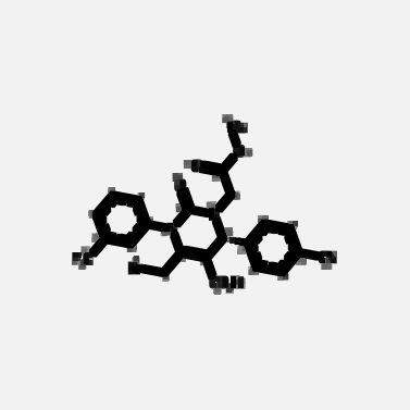 CCOC(=O)C1=C(CBr)N(c2cccc(C(F)(F)F)c2)C(=O)N(CC(=O)OC(C)(C)C)[C@@H]1c1ccc(C#N)cc1